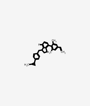 C=Cc1cc(C)c(-c2ccc(F)c3c2CCC3Cc2ccc(C3CC3C)cc2)c(C)c1